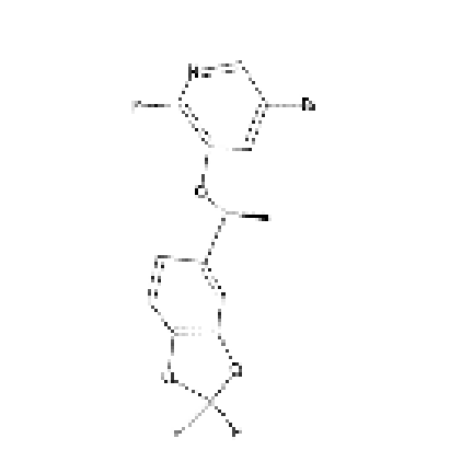 C[C@H](Oc1cc(Br)cnc1F)c1ccc2c(c1)OC(F)(F)O2